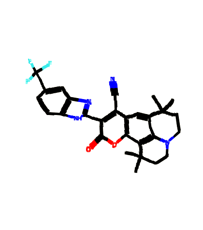 CC1(C)CCN2CCC(C)(C)c3c2c1cc1c(C#N)c(-c2nc4cc(C(F)(F)F)ccc4[nH]2)c(=O)oc31